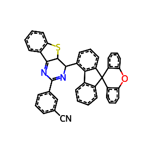 N#Cc1cccc(C2=NC(c3cccc4c3-c3ccccc3C43c4ccccc4Oc4ccccc43)C3Sc4ccccc4C3=N2)c1